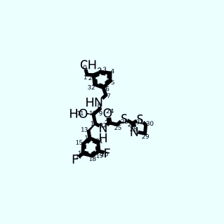 CCc1cccc(CNC[C@@H](O)[C@H](Cc2cc(F)cc(F)c2)NC(=O)CSC2=NCCS2)c1